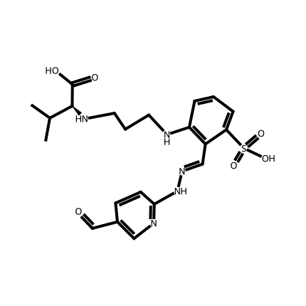 CC(C)[C@H](NCCCNc1cccc(S(=O)(=O)O)c1C=NNc1ccc(C=O)cn1)C(=O)O